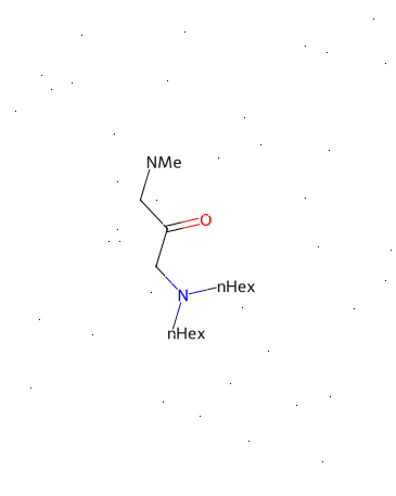 CCCCCCN(CCCCCC)CC(=O)CNC